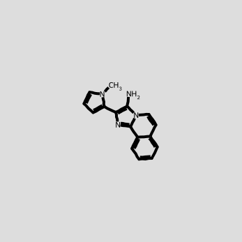 Cn1cccc1-c1nc2c3ccccc3ccn2c1N